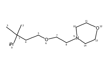 CC(C)C(C)(C)CCOCCN1CCOCC1